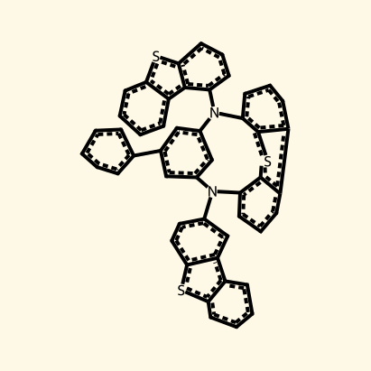 c1ccc(-c2cc3cc(c2)N(c2cccc4sc5ccccc5c24)c2cccc4c2sc2c(cccc24)N3c2ccc3sc4ccccc4c3c2)cc1